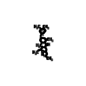 C=C(CCC)C[C@H](N[C@@H]1CC[C@H](C[C@@H]2CC[C@H](C)[C@H](C)C2)C[C@@H]1C)C(=C)CCC